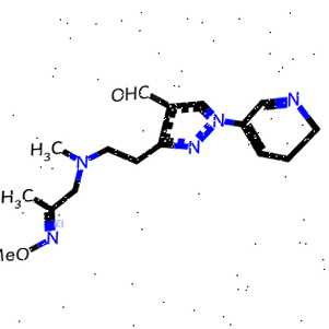 CO/N=C(\C)CN(C)CCc1nn(C2=CCCN=C2)cc1C=O